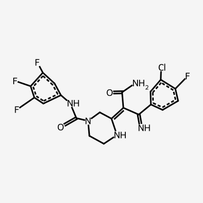 N=C(/C(C(N)=O)=C1/CN(C(=O)Nc2cc(F)c(F)c(F)c2)CCN1)c1ccc(F)c(Cl)c1